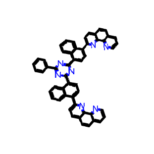 c1ccc(-c2nc(-c3ccc(-c4ccc5ccc6cccnc6c5n4)c4ccccc34)nc(-c3ccc(-c4ccc5ccc6cccnc6c5n4)c4ccccc34)n2)cc1